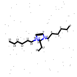 CCCCCCn1cc[n+](CCCCCC)c1CC